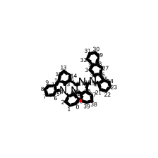 c1ccc(-n2c3ccccc3c3cccc(-c4nc(-n5c6ccccc6c6cc7ccccc7cc65)c5ccccc5n4)c32)cc1